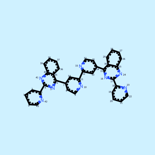 c1ccc(-c2nc(-c3ccnc(-c4cc(-c5nc(-c6ccccn6)nc6ccccc56)ccn4)c3)c3ccccc3n2)nc1